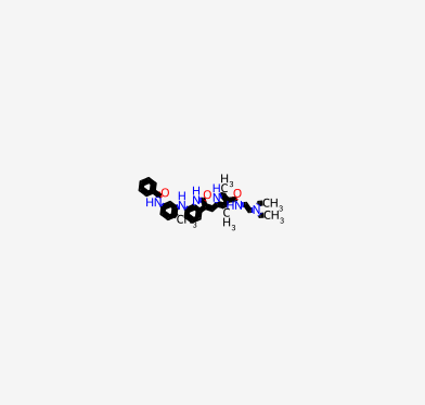 CCN(CC)CCNC(=O)c1c(C)[nH]c(C=C2C(=O)Nc3c(Nc4cc(NC(=O)c5ccccc5)ccc4C)cccc32)c1C